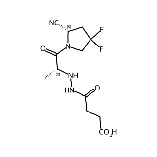 C[C@@H](NNC(=O)CCC(=O)O)C(=O)N1CC(F)(F)C[C@H]1C#N